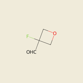 O=CC1(F)COC1